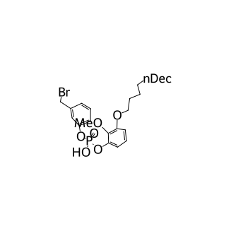 CCCCCCCCCCCCCCOc1cccc(OP(=O)(O)Oc2cccc(CBr)c2)c1OC